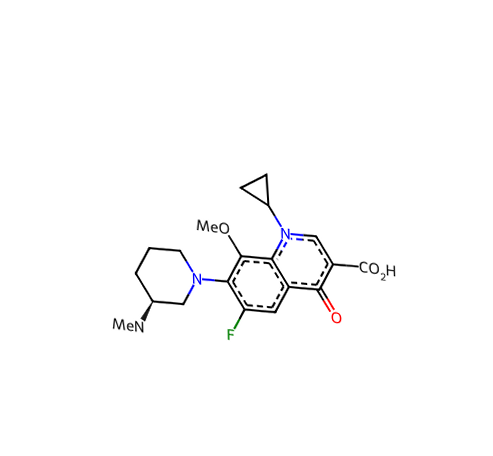 CN[C@H]1CCCN(c2c(F)cc3c(=O)c(C(=O)O)cn(C4CC4)c3c2OC)C1